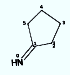 N=C1[C]CCC1